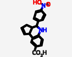 O=C(O)c1ccc2c(c1)C1C=CCC1C(c1ccc([N+](=O)O)cc1)N2